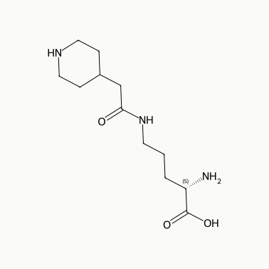 N[C@@H](CCCNC(=O)CC1CCNCC1)C(=O)O